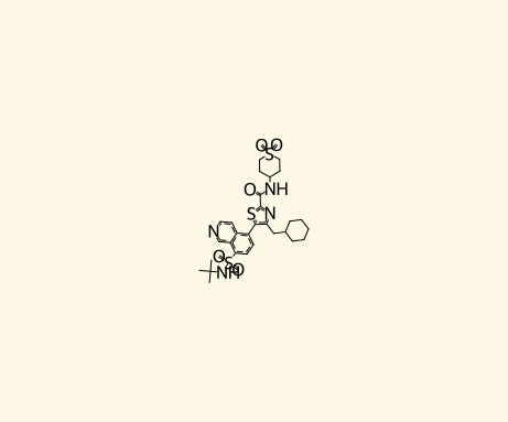 CC(C)(C)NS(=O)(=O)c1ccc(-c2sc(C(=O)NC3CCS(=O)(=O)CC3)nc2CC2CCCCC2)c2ccncc12